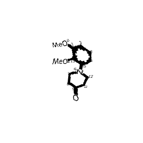 COc1cccc(N2CCC(=O)CC2)c1OC